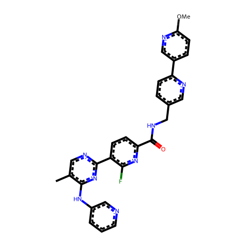 COc1ccc(-c2ccc(CNC(=O)c3ccc(-c4ncc(C)c(Nc5cccnc5)n4)c(F)n3)cn2)cn1